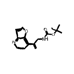 C=C(CNC(=O)OC(C)(C)C)c1ccnc2ccoc12